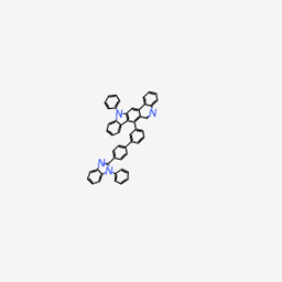 c1ccc(-n2c(-c3ccc(-c4cccc(-c5c6cnc7ccccc7c6cc6c5c5ccccc5n6-c5ccccc5)c4)cc3)nc3ccccc32)cc1